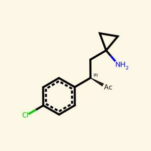 CC(=O)[C@H](CC1(N)CC1)c1ccc(Cl)cc1